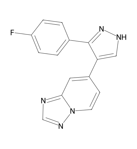 Fc1ccc(-c2n[nH]cc2-c2ccn3ncnc3c2)cc1